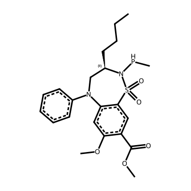 CCCC[C@@H]1CN(c2ccccc2)c2cc(OC)c(C(=O)OC)cc2S(=O)(=O)N1PC